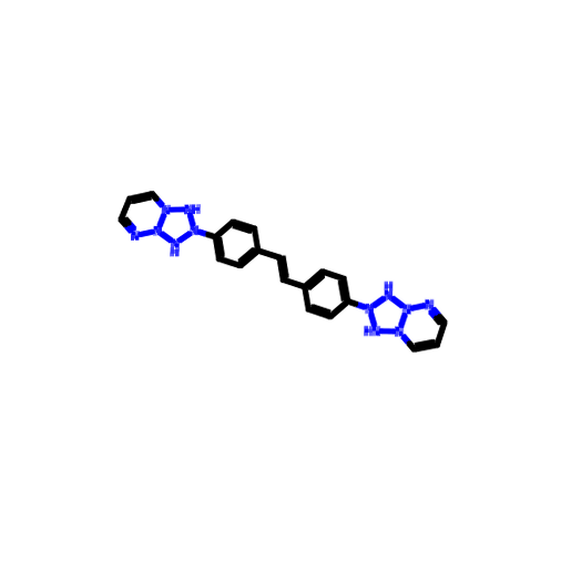 C(=Cc1ccc(-n2[nH]n3cccnn3[nH]2)cc1)c1ccc(-n2[nH]n3cccnn3[nH]2)cc1